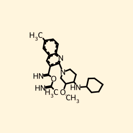 COC1CN(c2nc3ccc(C)cc3cc2C(=N)OC(C)=N)CCC1NC1CCCCC1